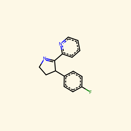 Fc1ccc(C2CCN=C2c2ccccn2)cc1